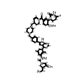 COc1ccc(C(=O)N2CCC(CN3CCN(Cc4ccc(-c5cc6c(-c7cc(F)cc(NC(=O)N8CC(O)C(CC(C)C)C8)c7C)ncnc6[nH]5)cc4)CC3)CC2)cc1N1CCC(=O)NC1=O